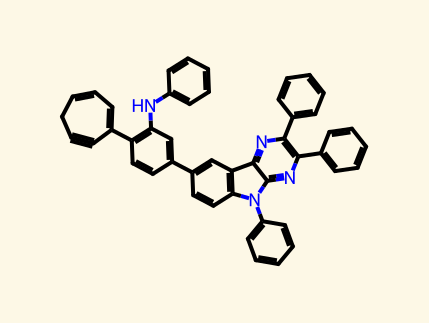 C1#CC(c2ccc(-c3ccc4c(c3)c3nc(-c5ccccc5)c(-c5ccccc5)nc3n4-c3ccccc3)cc2Nc2ccccc2)=CC=CC1